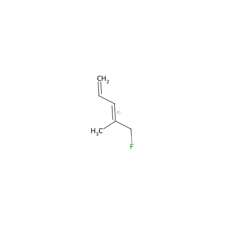 C=C/C=C(\C)CF